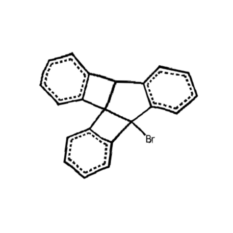 BrC12c3ccccc3C3c4ccccc4C31c1ccccc12